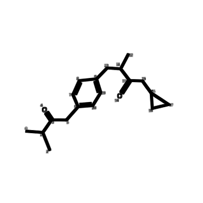 CC(C)C(=O)Cc1ccc(CC(C)C(=O)CC2CC2)cc1